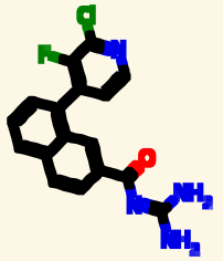 NC(N)=NC(=O)c1ccc2cccc(-c3ccnc(Cl)c3F)c2c1